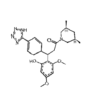 COc1cc(O)c(C(CC(=O)N2C[C@H](C)C[C@H](C)C2)C2C=CC(c3nnn[nH]3)=CC2)c(OC)c1